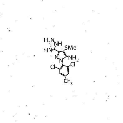 CSc1c(C(=N)NN)nn(-c2c(Cl)cc(C(F)(F)F)cc2Cl)c1N